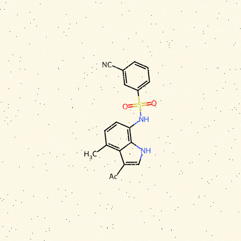 CC(=O)c1c[nH]c2c(NS(=O)(=O)c3cccc(C#N)c3)ccc(C)c12